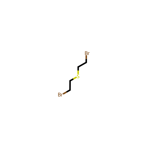 BrCCSCCBr